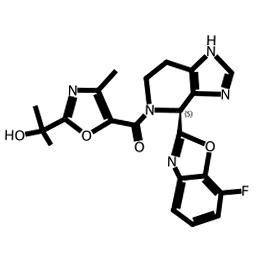 Cc1nc(C(C)(C)O)oc1C(=O)N1CCc2[nH]cnc2[C@H]1c1nc2cccc(F)c2o1